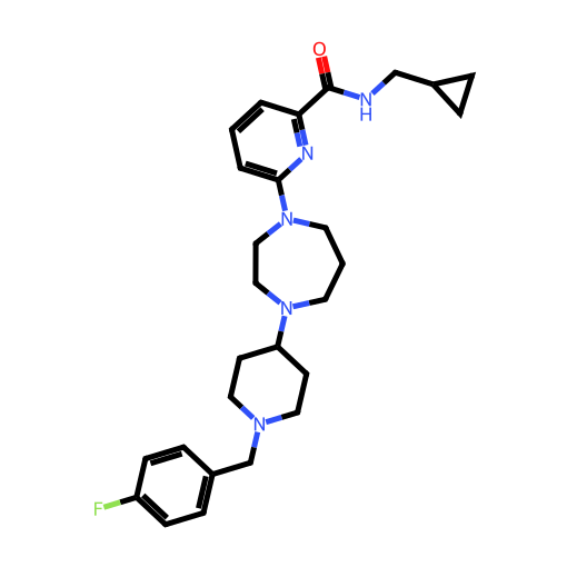 O=C(NCC1CC1)c1cccc(N2CCCN(C3CCN(Cc4ccc(F)cc4)CC3)CC2)n1